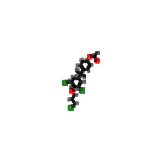 CC(=O)Oc1ccc(C(C)(C)c2cc(Cl)c(OCCCCl)c(Cl)c2)cc1